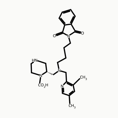 Cc1cnc(CN(CCCCN2C(=O)c3ccccc3C2=O)C[C@H]2CNCCN2C(=O)O)c(C)c1